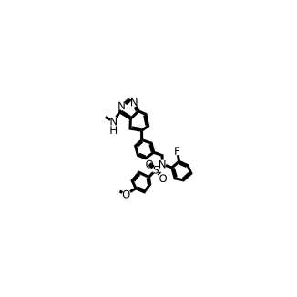 CNc1ncnc2ccc(-c3cccc(CN(c4ccccc4F)S(=O)(=O)c4ccc(OC)cc4)c3)cc12